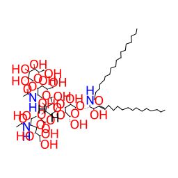 CCCCCCCCCCCCC/C=C/[C@@H](O)[C@H](CO[C@@H]1O[C@H](CO)[C@@H](O[C@@H]2O[C@H](CO)[C@H](O[C@@H]3O[C@H](CO)[C@H](O)[C@H](O[C@@H]4O[C@H](CO)[C@H](O)[C@H](O)[C@H]4O)[C@H]3NC(C)=O)[C@@H]3O[C@@]4(C[C@@H](O)[C@H](NC(C)=O)[C@@H]([C@@H](O)[C@@H](O)CO)O4)C(=O)O[C@@H]23)[C@H](O)[C@H]1O)NC(=O)CCCCCCCCCCCCCCCCC